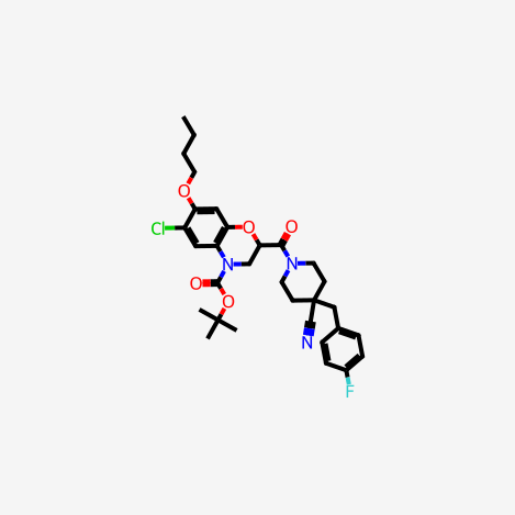 CCCCOc1cc2c(cc1Cl)N(C(=O)OC(C)(C)C)CC(C(=O)N1CCC(C#N)(Cc3ccc(F)cc3)CC1)O2